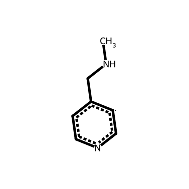 CNCc1[c]cncc1